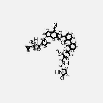 COc1nc(-c2cccc(-c3cccc(-c4nc5c(o4)C(C#N)=C4CC[C@@H](N6CC[C@@H](C(=O)NS(=O)(=O)C7CC7)C6)C4C5)c3Cl)c2C)cnc1CNC[C@@H]1CCC(=O)N1